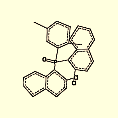 Cc1ccc(C)c(P(=O)(c2c(Cl)ccc3ccccc23)c2c(Cl)ccc3ccccc23)c1